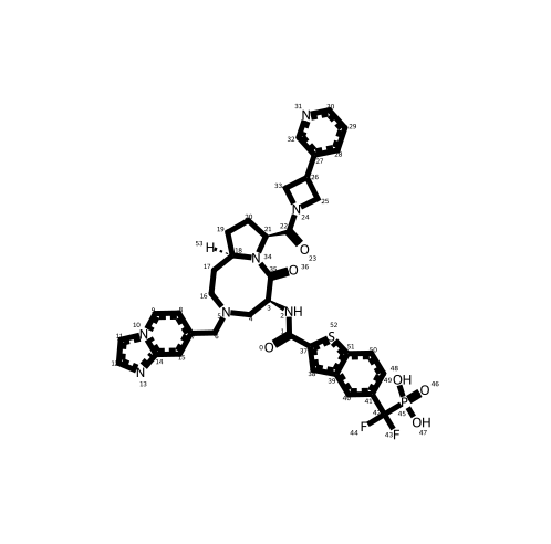 O=C(N[C@H]1CN(Cc2ccn3ccnc3c2)CC[C@H]2CC[C@@H](C(=O)N3CC(c4cccnc4)C3)N2C1=O)c1cc2cc(C(F)(F)P(=O)(O)O)ccc2s1